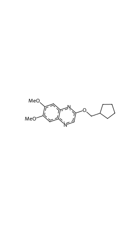 COc1cc2ncc(OCC3CCCC3)nc2cc1OC